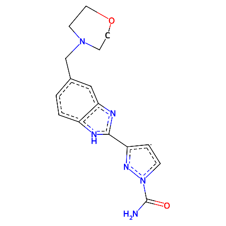 NC(=O)n1c[c]c(-c2nc3cc(CN4CCOCC4)ccc3[nH]2)n1